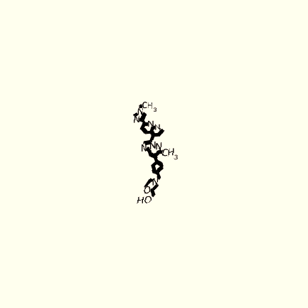 CCn1cnc(-c2ccc3c(-c4cnc5cc(-c6ccc(CN7CCOC(CO)C7)cc6)c(C)nn45)ccnc3n2)c1